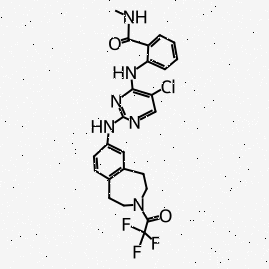 CNC(=O)c1ccccc1Nc1nc(Nc2ccc3c(c2)CCN(C(=O)C(F)(F)F)CC3)ncc1Cl